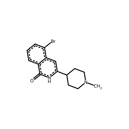 CN1CCC(c2cc3c(Br)cccc3c(=O)[nH]2)CC1